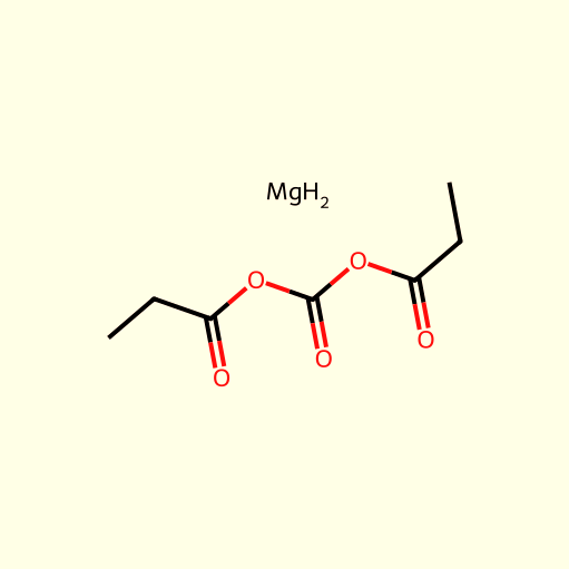 CCC(=O)OC(=O)OC(=O)CC.[MgH2]